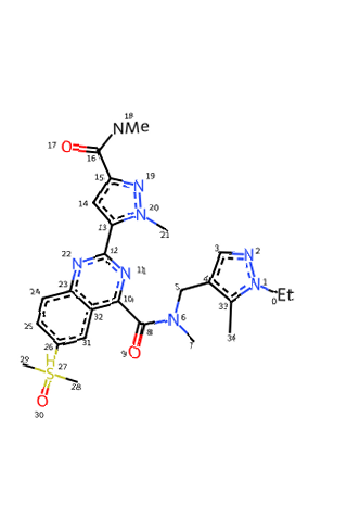 CCn1ncc(CN(C)C(=O)c2nc(-c3cc(C(=O)NC)nn3C)nc3ccc([SH](C)(C)=O)cc23)c1C